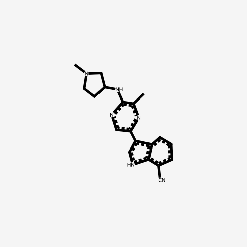 Cc1nc(-c2c[nH]c3c(C#N)cccc23)cnc1NC1CCN(C)C1